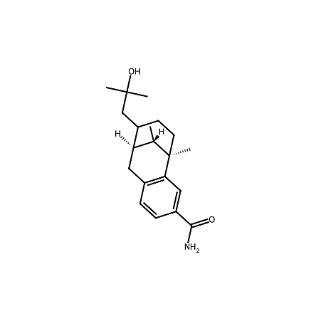 C[C@H]1[C@H]2Cc3ccc(C(N)=O)cc3[C@]1(C)CCC2CC(C)(C)O